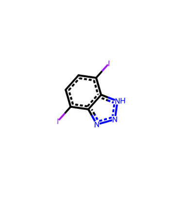 Ic1ccc(I)c2[nH]nnc12